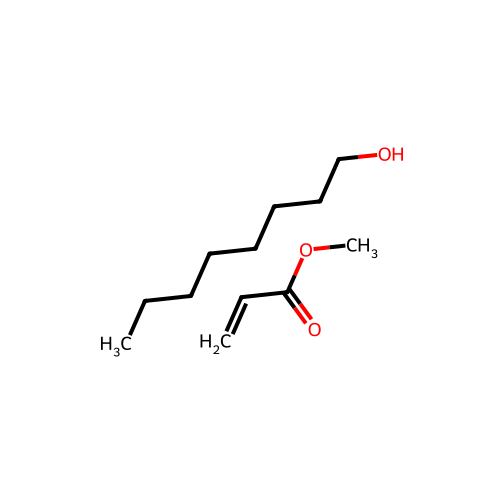 C=CC(=O)OC.CCCCCCCCO